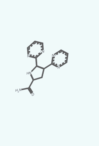 NC(=O)C1CC(c2ncccn2)C(c2ncccn2)N1